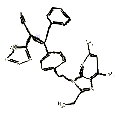 CCc1nc2c(C)cc(C)nc2n1Cc1ccc(/C(=C(/C#N)c2nnn[nH]2)c2ccccc2)cc1